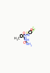 Cc1ccc(C(=O)Nc2nc3ccc(OC(F)(F)F)cc3s2)c(CCNC(=O)CN)c1